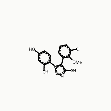 COc1c(Cl)cccc1-c1c(S)nnn1-c1ccc(O)cc1O